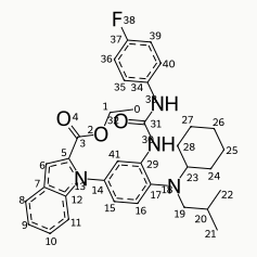 CCOC(=O)c1cc2ccccc2n1-c1ccc(N(CC(C)C)C2CCCCC2)c(NC(=O)Nc2ccc(F)cc2)c1